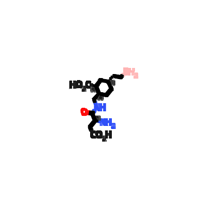 BCC[C@@H]1CC[C@@H](CNC(=O)[C@@H](N)CC(=O)O)[C@@H](C(=O)O)C1